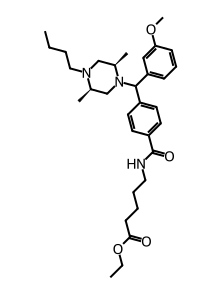 CCCCN1C[C@@H](C)N(C(c2ccc(C(=O)NCCCCC(=O)OCC)cc2)c2cccc(OC)c2)C[C@H]1C